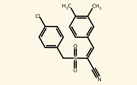 Cc1ccc(C=C(C#N)S(=O)(=O)Cc2ccc(Cl)cc2)cc1C